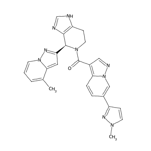 Cc1cccn2nc([C@H]3c4nc[nH]c4CCN3C(=O)c3cnn4cc(-c5ccn(C)n5)ccc34)cc12